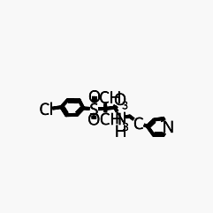 CC(C)(C(=O)NCCc1ccncc1)S(=O)(=O)c1ccc(Cl)cc1